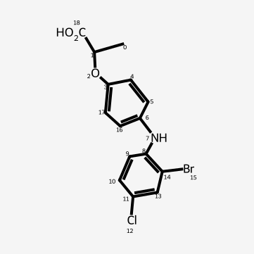 CC(Oc1ccc(Nc2ccc(Cl)cc2Br)cc1)C(=O)O